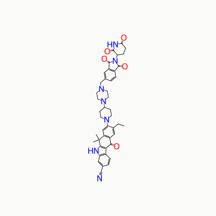 CCc1cc2c(cc1N1CCC(N3CCN(Cc4ccc5c(c4)C(=O)N(C4CCC(=O)NC4=O)C5=O)CC3)CC1)C(C)(C)c1[nH]c3cc(C#N)ccc3c1C2=O